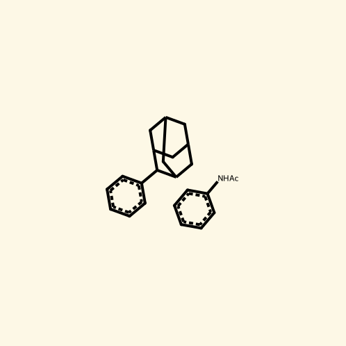 CC(=O)Nc1ccccc1.c1ccc(C2C3CC4CC(C3)CC2C4)cc1